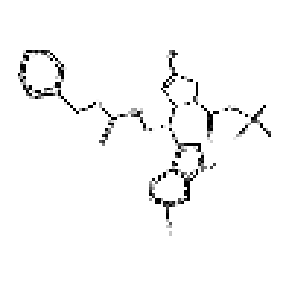 CC(C)(C)OC(=O)N1CC(O)=C[C@H]1[C@@H](CNC(=O)OCc1ccccc1)c1c[nH]c2cc(F)ccc12